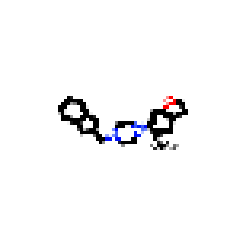 COc1cc2c(cc1N1CCN(CC3Cc4ccccc4C3)CC1)OCC2